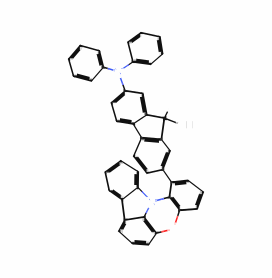 CC1(C)c2cc(-c3cccc4c3-n3c5ccccc5c5cccc(c53)O4)ccc2-c2ccc(N(c3ccccc3)c3ccccc3)cc21